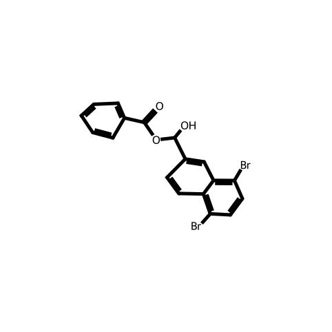 O=C(OC(O)c1ccc2c(Br)ccc(Br)c2c1)c1ccccc1